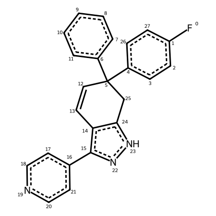 Fc1ccc(C2(c3ccccc3)C=Cc3c(-c4ccncc4)n[nH]c3C2)cc1